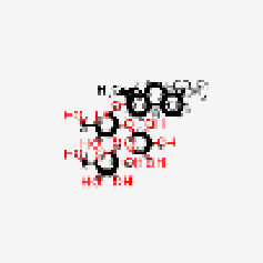 C=C1C[C@@]23CC[C@H]4[C@@](C)(CCC[C@@]4(C)C(=O)OCC)[C@@H]2CC[C@]1(O[C@@H]1O[C@H](CO)[C@@H](O)[C@H](O[C@@H]2O[C@H](CO)[C@@H](O)[C@H](O)[C@H]2O)[C@H]1O[C@@H]1OC[C@@H](O)[C@H](O)[C@H]1O)C3